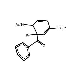 CCOC(=O)C1=CC(Br)(C(=O)c2ccccc2)C(NC(C)=O)C=C1